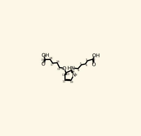 O=C(O)CCCCNc1ncccc1OCCCCC(=O)O